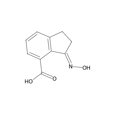 O=C(O)c1cccc2c1C(=NO)CC2